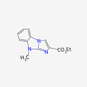 CCOC(=O)c1cn2c3ccccc3n(C)c2n1